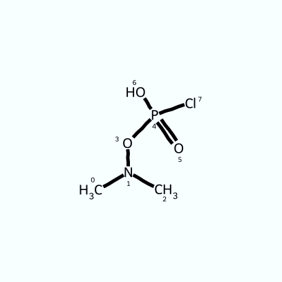 CN(C)OP(=O)(O)Cl